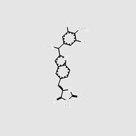 Nc1c(Cl)cc(C(O)c2cc3cc(/C=C4\SC(=O)NC4=O)ccc3o2)cc1Cl